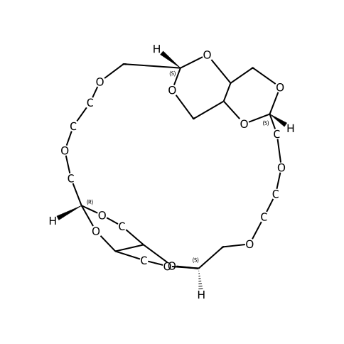 C1COC[C@H]2OCC3O[C@@H](COCCOC[C@H]4OCC5O[C@H](CO1)OCC5O4)OCC3O2